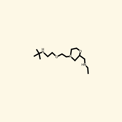 CCNCC1CN(CCOCCNC(C)(C)C)CCO1